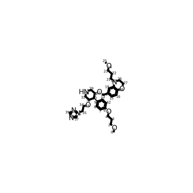 COCCCOc1ccc([C@@H]2[C@@H](OCc3ccc4c(c3)N(CCCOC)CCO4)CNC[C@H]2OCCn2cncn2)cc1